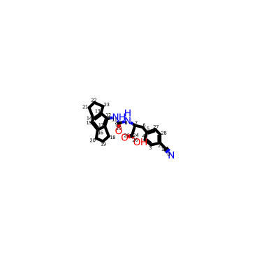 N#Cc1ccc(CC(NC(=O)Nc2c3c(cc4c2CCC4)CCC3)C(=O)O)cc1